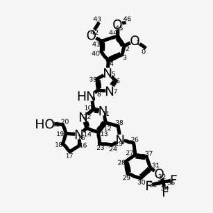 COc1cc(-n2cnc(Nc3nc4c(c(N5CCCC5CO)n3)CCN(Cc3cccc(OC(F)(F)F)c3)C4)c2)cc(OC)c1OC